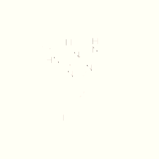 C[C@@H](Nc1nc(NC2CCCC2)nc(C2=CC(O)CCC2)n1)C(F)(F)F